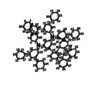 c1ccc(-c2ccc(N(c3cc(-c4ccccc4)cc(-c4ccccc4)c3)c3cc(-c4cccc5c4-c4ccccc4C54c5ccccc5-c5ccccc54)cc(N(c4ccc(-c5ccccc5)cc4)c4cc(-c5ccccc5)cc(-c5ccccc5)c4)c3)cc2)cc1